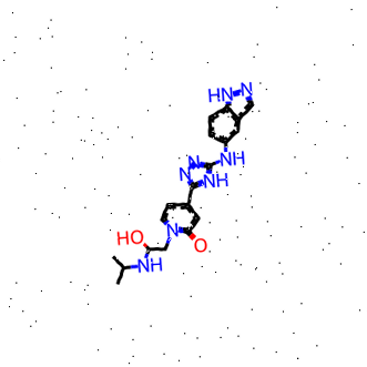 CC(C)NC(O)Cn1ccc(-c2nnc(Nc3ccc4[nH]ncc4c3)[nH]2)cc1=O